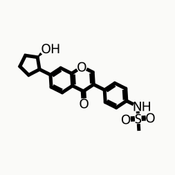 CS(=O)(=O)Nc1ccc(-c2coc3cc(C4CCC[C@H]4O)ccc3c2=O)cc1